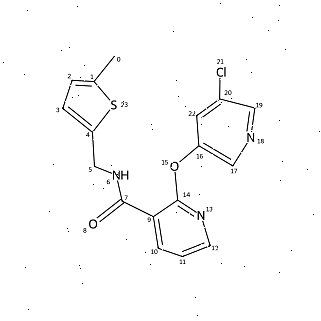 Cc1ccc(CNC(=O)c2cccnc2Oc2cncc(Cl)c2)s1